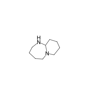 C1CCN2CCCCC2NC1